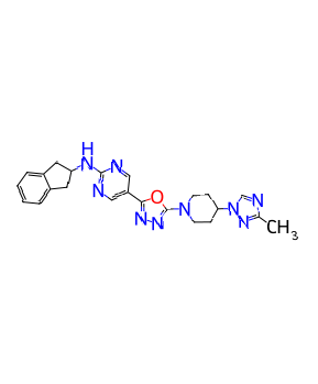 Cc1ncn(C2CCN(c3nnc(-c4cnc(NC5Cc6ccccc6C5)nc4)o3)CC2)n1